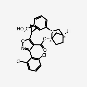 O=C(O)c1cccc(N2C[C@H]3CC[C@]2(OC(=O)c2c(-c4c(Cl)cccc4Cl)noc2C2CC2)C3)c1